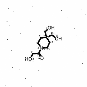 O=C(CO)N1CCC(CO)(CO)CC1